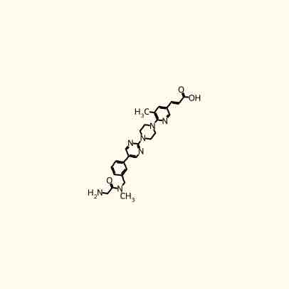 Cc1cc(C=CC(=O)O)cnc1N1CCN(c2ncc(-c3cccc(CN(C)C(=O)CN)c3)cn2)CC1